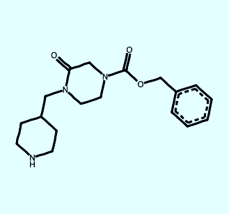 O=C1CN(C(=O)OCc2ccccc2)CCN1CC1CCNCC1